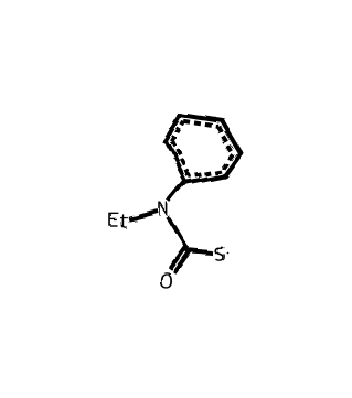 CCN(C(=O)[S])c1ccccc1